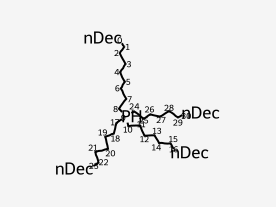 CCCCCCCCCCCCCCCCCC[PH](CCCCCCCCCCCCCCCC)(CCCCCCCCCCCCCCCC)CCCCCCCCCCCCCCCC